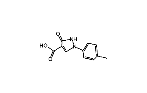 Cc1ccc(-n2cc(C(=O)O)c(=O)[nH]2)cc1